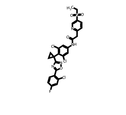 CCS(=O)(=O)c1ccc(CC(=O)Nc2cc(Cl)c(C3(c4noc(-c5ccc(F)cc5Cl)n4)CC3)c(Cl)c2)nc1